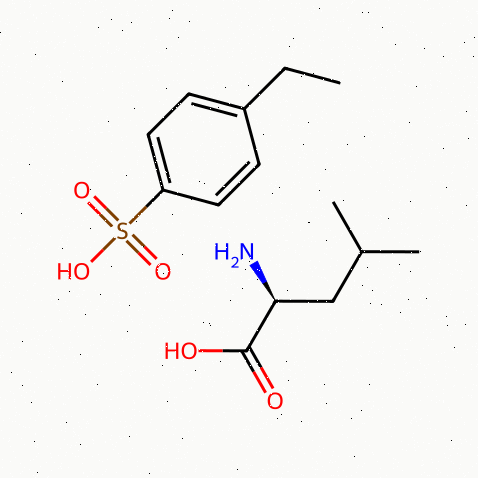 CC(C)C[C@H](N)C(=O)O.CCc1ccc(S(=O)(=O)O)cc1